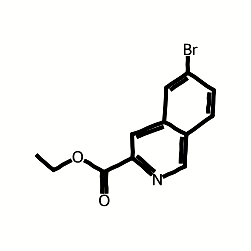 CCOC(=O)c1cc2cc(Br)ccc2cn1